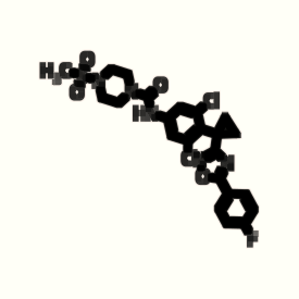 CS(=O)(=O)N1CCN(C(=O)Nc2cc(Cl)c(C3(c4noc(-c5ccc(F)cc5)n4)CC3)c(Cl)c2)CC1